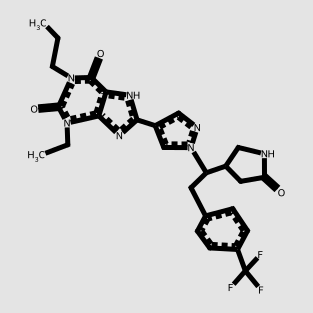 CCCn1c(=O)c2[nH]c(-c3cnn(C(Cc4ccc(C(F)(F)F)cc4)C4CNC(=O)C4)c3)nc2n(CC)c1=O